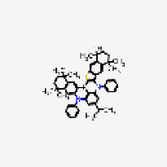 CC(C)c1cc2c3c(c1)N(c1ccccc1)c1c(sc4cc5c(cc14)C(C)(C)CCC5(C)C)B3c1cc3c(cc1N2c1ccccc1)C(C)(C)CCC3(C)C